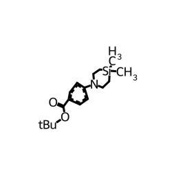 CC(C)(C)OC(=O)c1ccc(N2CC[Si](C)(C)CC2)cc1